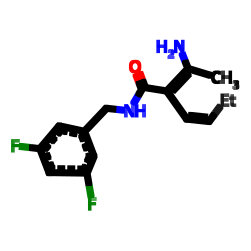 CC/C=C\C(C(=O)NCc1cc(F)cc(F)c1)=C(/C)N